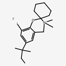 CCC(C)(C)c1cc(I)c2c(c1)C[N+](C)(C)C1(CCCCC1)O2.[I-]